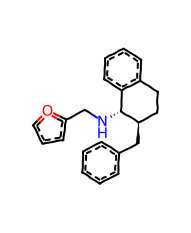 c1ccc(C[C@@H]2CCc3ccccc3[C@H]2NCc2ccco2)cc1